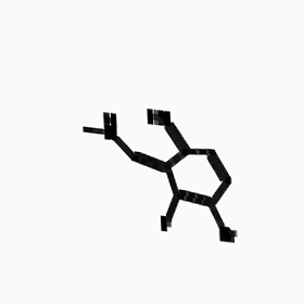 CN/C=C1\C(=N)C=CC(Br)=C1F